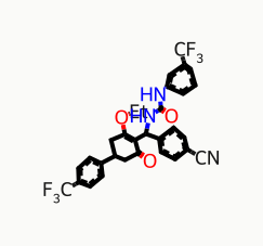 CCOC1=C(C(NC(=O)Nc2cccc(C(F)(F)F)c2)c2ccc(C#N)cc2)C(=O)CC(c2ccc(C(F)(F)F)cc2)C1